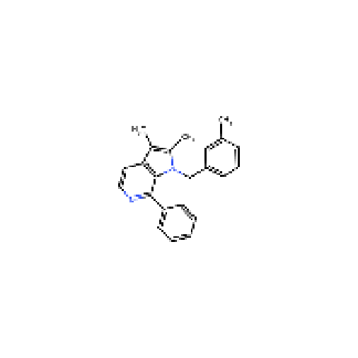 Cc1cccc(Cn2c(C)c(C)c3ccnc(-c4ccccc4)c32)c1